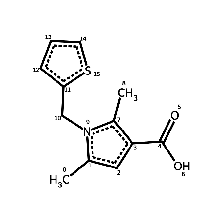 Cc1cc(C(=O)O)c(C)n1Cc1cccs1